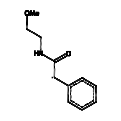 COCCNC(=O)[CH]c1ccccc1